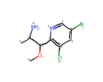 COC(c1ncc(Br)cc1Cl)C(C)N